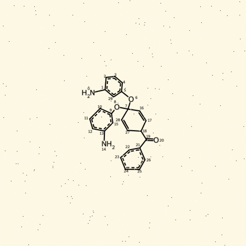 Nc1cccc(OC2(Oc3cccc(N)c3)C=CC(C(=O)c3ccccc3)C=C2)c1